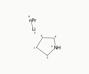 C1CCNC1.[Li][CH2]CC